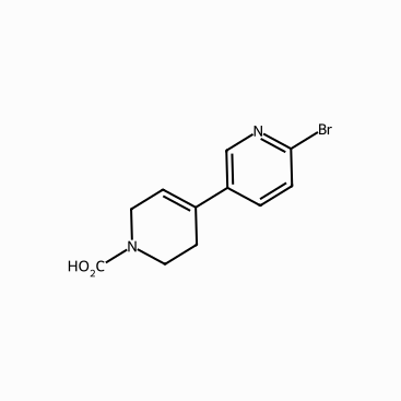 O=C(O)N1CC=C(c2ccc(Br)nc2)CC1